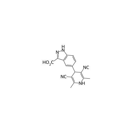 [C-]#[N+]C1=C(C)NC(C)=C(C#N)C1c1ccc2[nH]nc(C(=O)O)c2c1